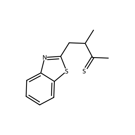 CC(=S)C(C)Cc1nc2ccccc2s1